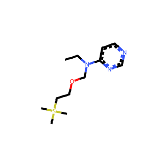 CCN(COCCS(C)(C)C)c1ccncn1